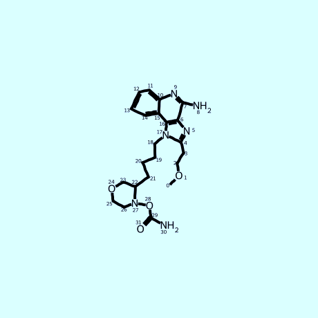 COCCc1nc2c(N)nc3ccccc3c2n1CCCCC1COCCN1OC(N)=O